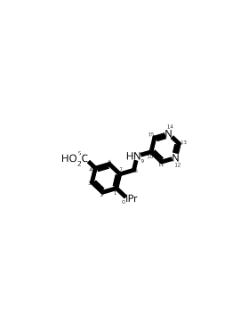 CC(C)c1ccc(C(=O)O)cc1CNc1cncnc1